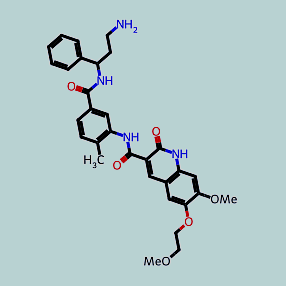 COCCOc1cc2cc(C(=O)Nc3cc(C(=O)NC(CCN)c4ccccc4)ccc3C)c(=O)[nH]c2cc1OC